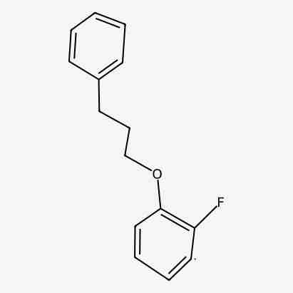 Fc1[c]cccc1OCCCc1ccccc1